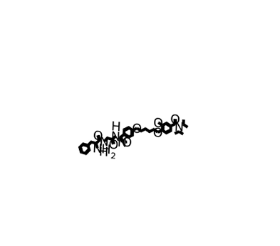 COc1cc(C(=O)N(C(C)C)C(C)C)ccc1OCCCCOc1ccc2c(NC(=O)CNC(=O)C(N)Cc3ccccc3)noc2c1